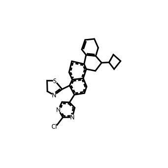 Clc1ncc(-c2ccc3c4c(ccc3c2C2=NCCS2)C2=C(CCC=C2)C(C2CCC2)C4)cn1